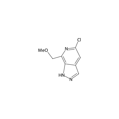 COCc1nc(Cl)cc2cn[nH]c12